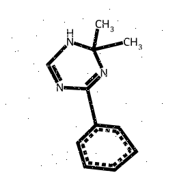 CC1(C)N=C(c2ccccc2)N=CN1